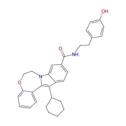 O=C(NCCc1ccc(O)cc1)c1ccc2c(C3CCCCC3)c3n(c2c1)CCOc1ccccc1-3